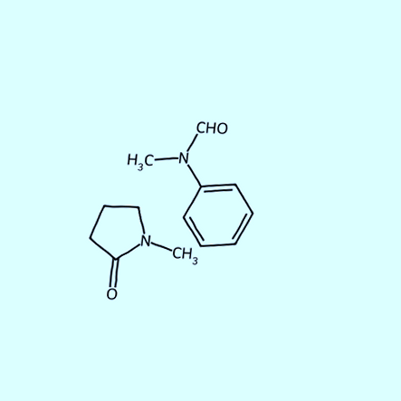 CN(C=O)c1ccccc1.CN1CCCC1=O